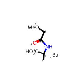 CC[C@H](C)[C@](C)(NC(=O)COC)C(=O)O